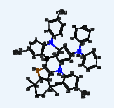 CC(C)(C)c1ccc(N2c3ccc(C(C)(C)C)cc3B3c4sc5c(c4N(c4ccc(C(C)(C)C)cc4)c4cc(N(c6ccccc6)c6ccccc6)cc2c43)C(C)(C)CCC5(C)C)cc1